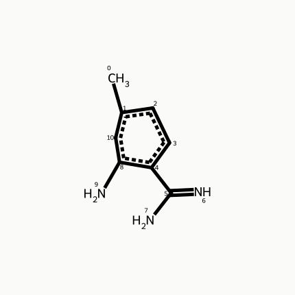 Cc1ccc(C(=N)N)c(N)c1